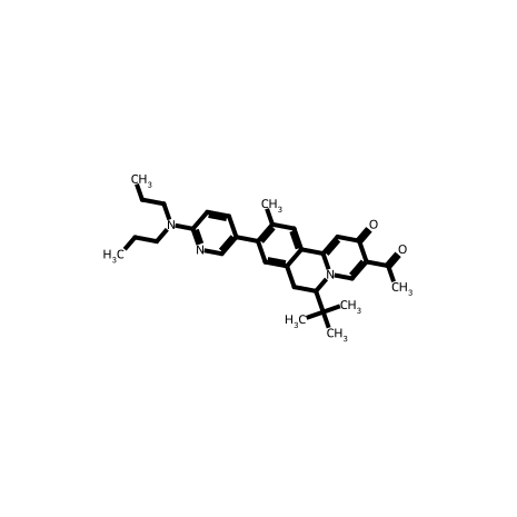 CCCN(CCC)c1ccc(-c2cc3c(cc2C)-c2cc(=O)c(C(C)=O)cn2C(C(C)(C)C)C3)cn1